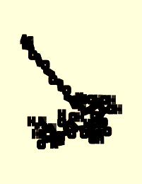 CC(=O)CCOCCOCCOCCOCc1cn(CC2O[C@H](OP(=O)(O)OP(=O)(O)OC[C@H]3O[C@@H](n4cnc5c(=O)[nH]c(N)nc54)C(O)C3O)C(O)C(O)[C@@H]2O)nn1